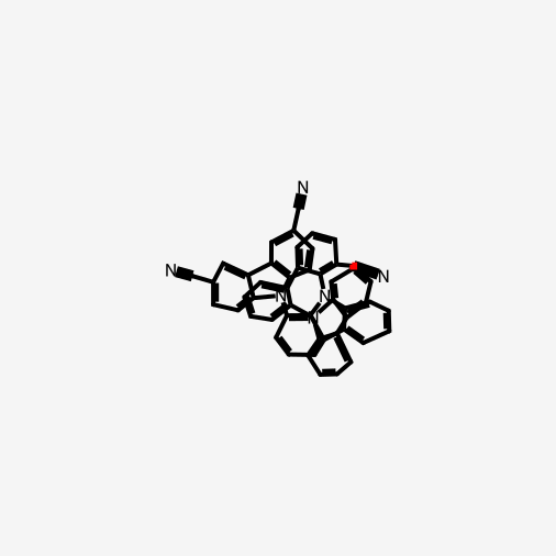 N#Cc1ccc2c(c1)c1cc(C#N)ccc1n2-c1cccc2c3ccccc3n(-c3c(C#N)cccc3-c3ccccc3-n3c4ccccc4c4ccccc43)c12